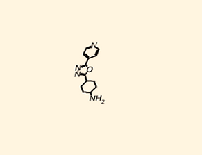 NC1CCC(c2nnc(-c3ccncc3)o2)CC1